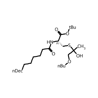 CCCCCCCCCCCCCCCC(=O)N[C@@H](CSC(C)(O)COCCCC)C(=O)OC(C)(C)C